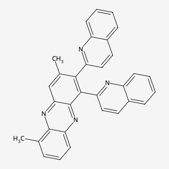 Cc1cc2nc3c(C)cccc3nc2c(-c2ccc3ccccc3n2)c1-c1ccc2ccccc2n1